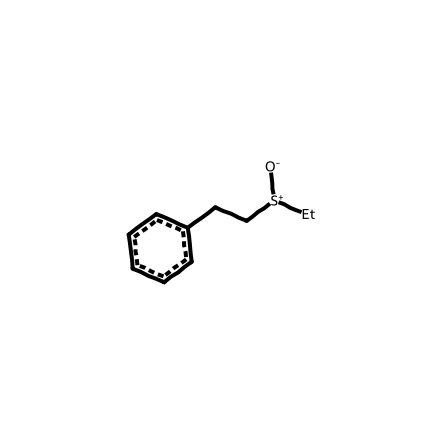 CC[S+]([O-])CCc1ccccc1